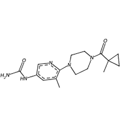 Cc1cc(NC(N)=O)cnc1N1CCN(C(=O)C2(C)CC2)CC1